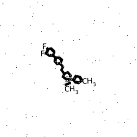 CCC[Si]1(c2ccc(C)cc2)CCC(CCc2ccc(-c3ccc(F)c(F)c3)cc2)CC1